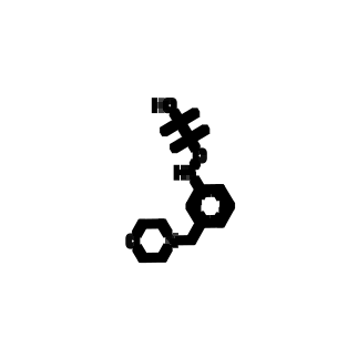 CC(C)(O)C(C)(C)OBc1cccc(CN2CCOCC2)c1